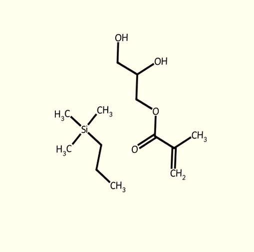 C=C(C)C(=O)OCC(O)CO.CCC[Si](C)(C)C